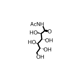 CC(=O)NC(=O)[C@H](O)[C@H](O)[C@@H](O)[C@H](O)CO